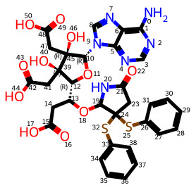 Nc1ncnc2c1ncn2[C@@H]1O[C@H](C(CC(=O)O)OC2NC(=O)CC2(Sc2ccccc2)Sc2ccccc2)[C@](O)(CC(=O)O)[C@]1(O)CC(=O)O